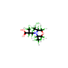 F.O=C(O)C(F)(C(F)(F)F)C(F)(F)N1C(F)(C(F)(F)F)C(F)(F)OC(F)(F)C1(F)C(F)(F)F